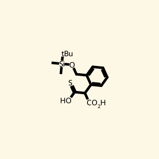 CC(C)(C)[Si](C)(C)OCc1ccccc1C(C(=O)O)C(O)=S